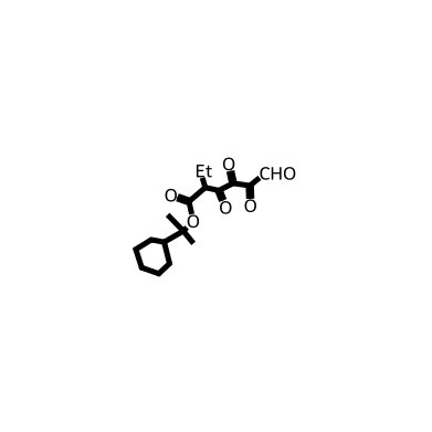 CCC(C(=O)OC(C)(C)C1CCCCC1)C(=O)C(=O)C(=O)C=O